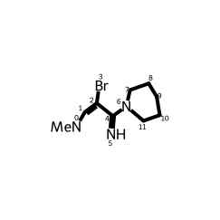 CN/C=C(/Br)C(=N)N1CCCCC1